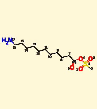 CS(=O)(=O)OC(=O)CCCCCCCCCCN